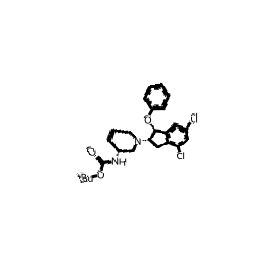 CC(C)(C)OC(=O)N[C@@H]1CCCN([C@H]2Cc3c(Cl)cc(Cl)cc3[C@@H]2Oc2ccccc2)C1